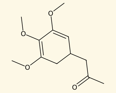 COC1=CC(CC(C)=O)CC(OC)=C1OC